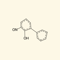 O=Nc1cccc(-c2ccccc2)c1O